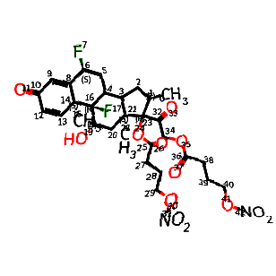 C[C@@H]1CC2C3C[C@H](F)C4=CC(=O)C=C[C@]4(C)[C@@]3(F)[C@@H](O)C[C@]2(C)[C@@]1(OC(=O)CCCO[N+](=O)[O-])C(=O)COC(=O)CCCO[N+](=O)[O-]